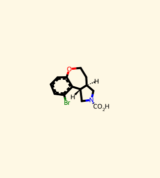 O=C(O)N1C[C@@H]2CCOc3cccc(Br)c3[C@H]2C1